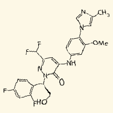 COc1cc(Nc2cc(C(F)F)nn([C@@H](CO)c3ccc(F)cc3F)c2=O)ccc1-n1cnc(C)c1